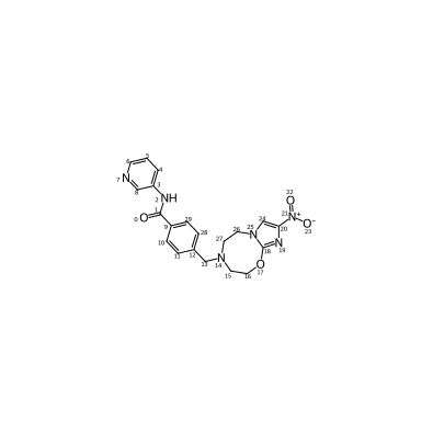 O=C(Nc1cccnc1)c1ccc(CN2CCOc3nc([N+](=O)[O-])cn3CC2)cc1